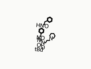 CC(C)(C)OC(=O)N(CCCN1CCCCC1)c1nnc(-c2ccc(NC(=O)Cc3ccccc3)cc2)o1